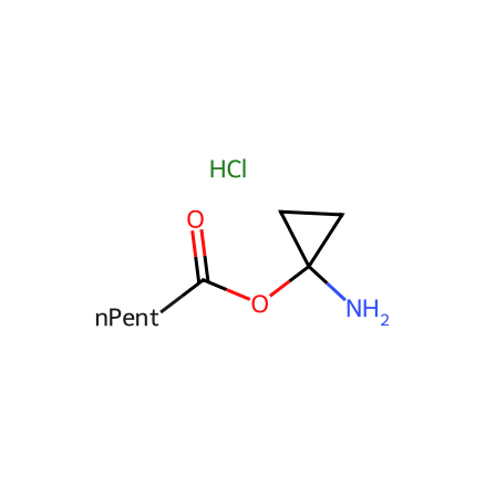 CCCCCC(=O)OC1(N)CC1.Cl